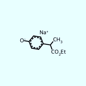 CCOC(=O)C(C)c1ccc([O-])cc1.[Na+]